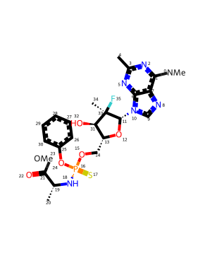 CNc1nc(C)nc2c1ncn2[C@@H]1O[C@H](CO[P@](=S)(N[C@H](C)C(=O)OC)Oc2ccccc2)[C@@H](O)[C@@]1(C)F